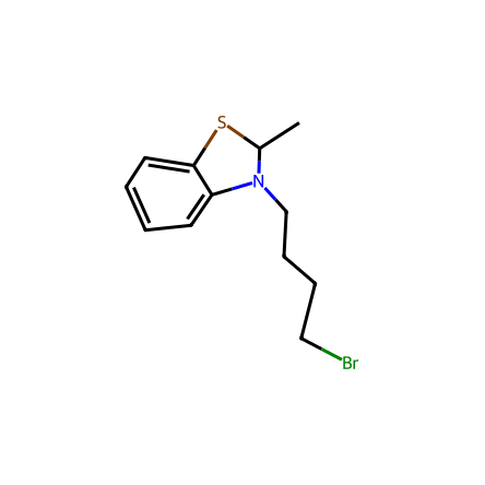 CC1Sc2ccccc2N1CCCCBr